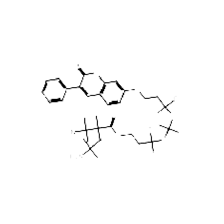 CC(C)(N)CC(C)(C(=O)OCCC(F)(F)OC(F)(F)OC(F)(F)CCOc1ccc2cc(-c3ccccc3)c(=O)oc2c1)C(C)(C)N